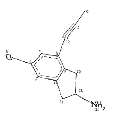 CC#Cc1cc(Cl)cc2c1CC(N)C2